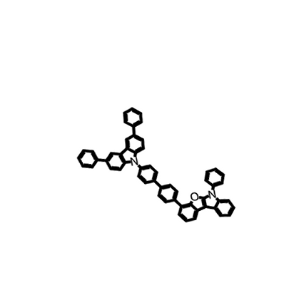 c1ccc(-c2ccc3c(c2)c2cc(-c4ccccc4)ccc2n3-c2ccc(-c3ccc(-c4cccc5c4oc4c5c5ccccc5n4-c4ccccc4)cc3)cc2)cc1